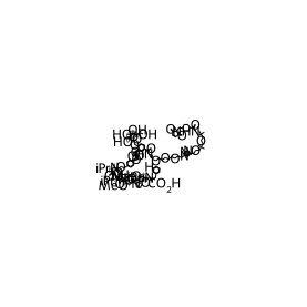 CCC(C)[C@@H]([C@@H](CC(=O)N1CCC[C@H]1[C@H](OC)[C@@H](C)C(=O)NC(Cc1ccccc1)C(=O)O)OC)N(C)C(=O)[C@@H](NC(=O)[C@H](C(C)C)N(C)C(=O)OCc1ccc(OS(=O)(=O)Oc2cc(C(=O)NCCOCCOCCOCCn3cc(COCC(C)(C)COCC(C)(C)CNC(=O)C4CCC(CN5C(=O)C=CC5=O)CC4)nn3)ccc2OC2O[C@H](CO)[C@H](O)[C@H](O)[C@H]2O)cc1)C(C)C